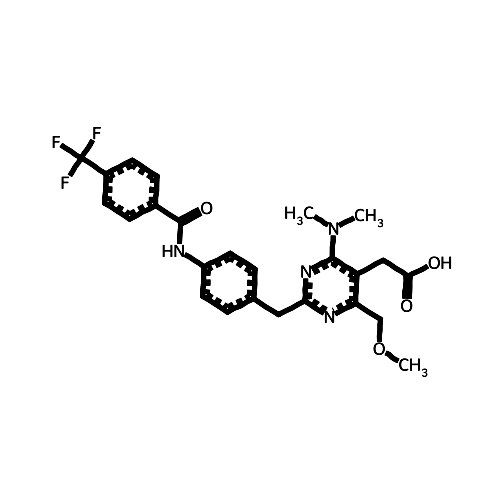 COCc1nc(Cc2ccc(NC(=O)c3ccc(C(F)(F)F)cc3)cc2)nc(N(C)C)c1CC(=O)O